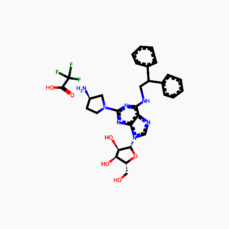 N[C@@H]1CCN(c2nc(NCC(c3ccccc3)c3ccccc3)c3ncn([C@@H]4O[C@H](CO)[C@@H](O)[C@H]4O)c3n2)C1.O=C(O)C(F)(F)F